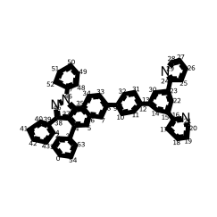 c1ccc(-c2cc3cc(-c4ccc(-c5cc(-c6ccccn6)cc(-c6ccccn6)c5)cc4)ccc3c3c2c(-c2ccccc2)nn3-c2ccccc2)cc1